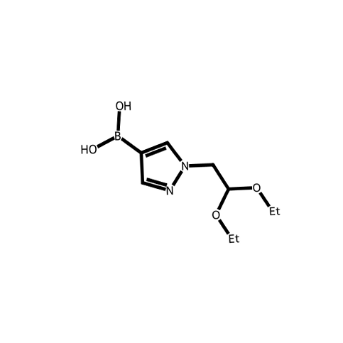 CCOC(Cn1cc(B(O)O)cn1)OCC